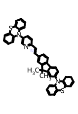 CC1(C)c2cc(/C=C/c3ccc(N4c5ccccc5Sc5ccccc54)cn3)ccc2-c2ccc(N3C4=C(C=CCC4)Sc4ccccc43)cc21